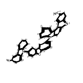 N#Cc1ccc2sc3ccc4c(c5ccccc5n4-c4ccc5oc6ccc(-n7c8ccccc8c8cc(C#N)ccc87)cc6c5c4)c3c2c1